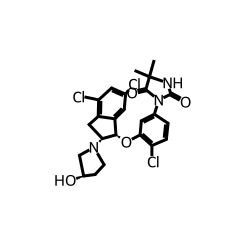 CC1(C)NC(=O)N(c2ccc(Cl)c(O[C@H]3c4cc(Cl)cc(Cl)c4C[C@H]3N3CC[C@@H](O)C3)c2)C1=O